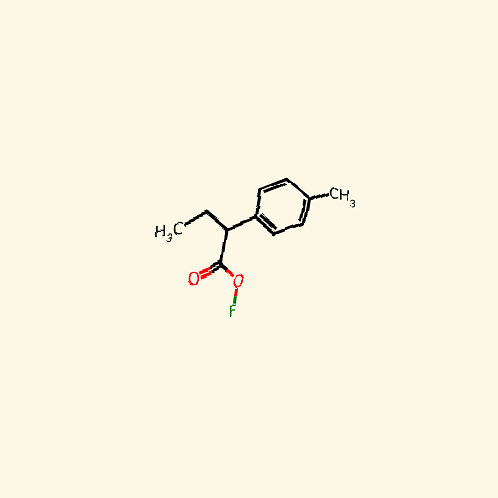 CCC(C(=O)OF)c1ccc(C)cc1